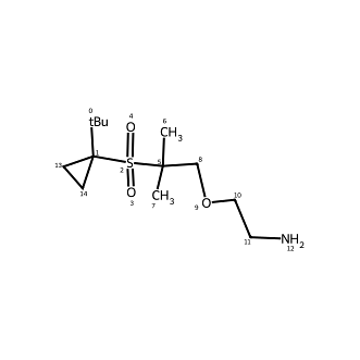 CC(C)(C)C1(S(=O)(=O)C(C)(C)COCCN)CC1